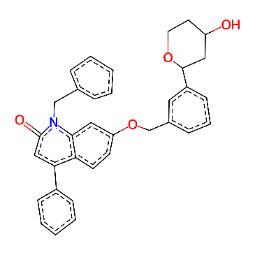 O=c1cc(-c2ccccc2)c2ccc(OCc3cccc(C4CC(O)CCO4)c3)cc2n1Cc1ccccc1